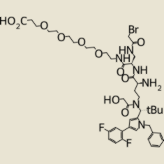 CC(C)(C)[C@H](c1cc(-c2cc(F)ccc2F)cn1Cc1ccccc1)N(CC[C@H](N)C(=O)N[C@H](CNC(=O)CBr)C(=O)NCCOCCOCCOCCOCCC(=O)O)C(=O)CO